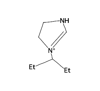 CCC(CC)[N+]1=CNCC1